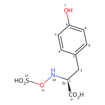 O=C(O)[C@H](Cc1ccc(O)cc1)NOS(=O)(=O)O